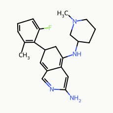 Cc1cccc(F)c1C1C=c2cnc(N)cc2=C(NC2CCCN(C)C2)C1